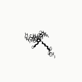 COC(=O)CCCCCC[C@H]1C(O[Si](C)(C)C(C)(C)C)CC(O[Si](C)(C)C(C)(C)C)C1CCC=O